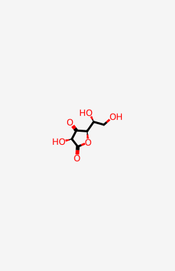 O=C1O[C@H]([C@@H](O)CO)C(=O)[C@@H]1O